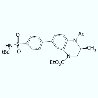 CCOC(=O)N1C[C@H](C)N(C(C)=O)c2ccc(-c3ccc(S(=O)(=O)NC(C)(C)C)cc3)cc21